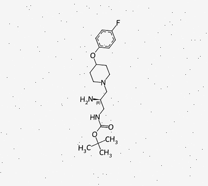 CC(C)(C)OC(=O)NC[C@@H](N)CN1CCC(Oc2ccc(F)cc2)CC1